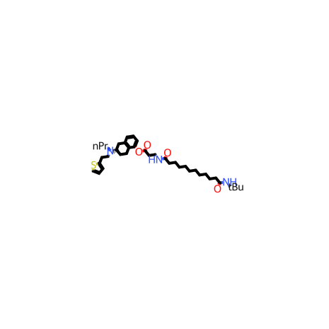 CCCN(CCc1cccs1)[C@@H]1CCc2c(cccc2OC(=O)CCNC(=O)CCCCCCCCCCC(=O)NC(C)(C)C)C1